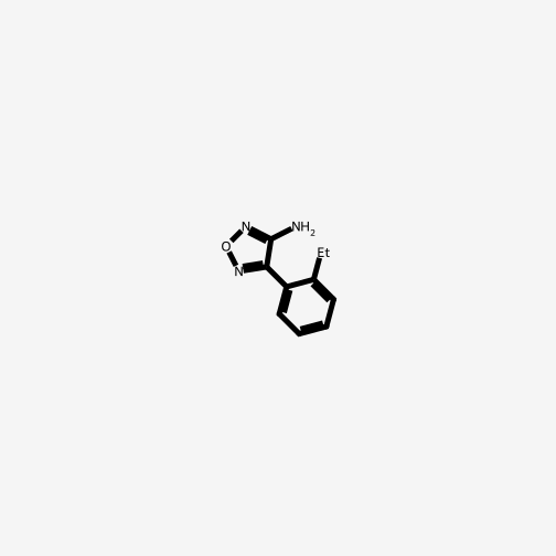 CCc1ccccc1-c1nonc1N